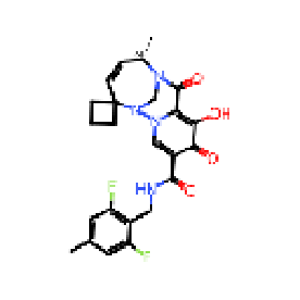 Cc1cc(F)c(CNC(=O)c2cn3c(c(O)c2=O)C(=O)N2CN3C3(C=C[C@@H]2C)CCC3)c(F)c1